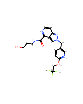 O=C(NCCCO)c1nccc2nn(Cc3ccc(OCC(F)(F)F)nc3)cc12